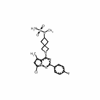 Cc1cc(Cl)n2nc(-c3ccc(F)cc3)nc(N3CC4(CC(N(C)S(N)(=O)=O)C4)C3)c12